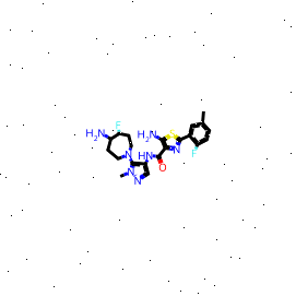 Cc1ccc(F)c(-c2nc(C(=O)Nc3cnn(C)c3N3CCC(N)C(F)CC3)c(N)s2)c1